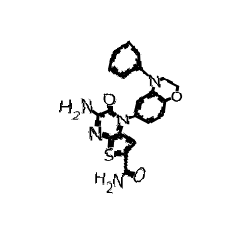 NC(=O)c1cc2c(nc(N)c(=O)n2-c2ccc3c(c2)N(c2ccccc2)CCO3)s1